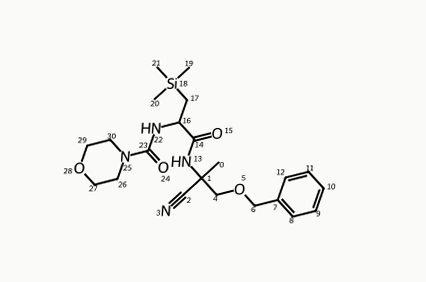 CC(C#N)(COCc1ccccc1)NC(=O)C(C[Si](C)(C)C)NC(=O)N1CCOCC1